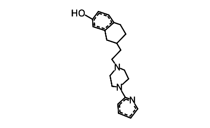 Oc1ccc2c(c1)CC(CCN1CCN(c3ccccn3)CC1)CC2